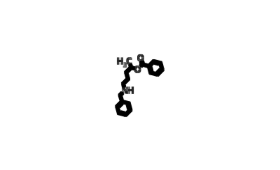 CC(CCCNCc1ccccc1)OC(=O)c1ccccc1